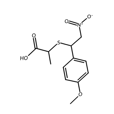 COc1ccc(C(C[N+](=O)[O-])SC(C)C(=O)O)cc1